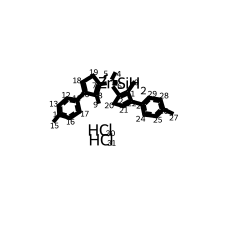 CC1=[C]([Zr]([CH3])([CH3])(=[SiH2])[C]2=C(C)C(c3ccc(C)cc3)=CC2)CC=C1c1ccc(C)cc1.Cl.Cl